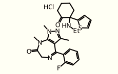 CCNC1(c2cccs2)CCCCC1=O.Cc1nn(C)c2c1C(c1ccccc1F)=NCC(=O)N2C.Cl